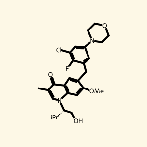 COc1cc2c(cc1Cc1cc(N3CCOCC3)cc(Cl)c1F)c(=O)c(C)cn2[C@H](CO)C(C)C